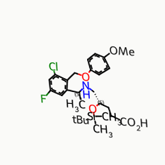 COc1ccc(OCc2c(Cl)cc(F)cc2[C@H](C)NC[C@H](CCC(=O)O)O[Si](C)(C)C(C)(C)C)cc1